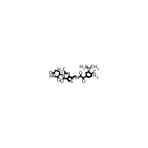 Cc1ccc(C(=O)C(=O)NCc2scc3c(=O)n(C4CCC(=O)NC4=O)c(C)nc23)cc1N(C)C